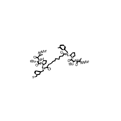 CN[C@@H](C)C(=O)N[C@H](C(=O)N1CCC[C@H]1CN(Cc1cccc(C)c1)C(=O)CCCCCCCCC(=O)N(Cc1cccc(CF)c1)C[C@@H]1CCCN1C(=O)[C@@H](NC(=O)[C@H](C)NC)C(C)(C)C)C(C)(C)C